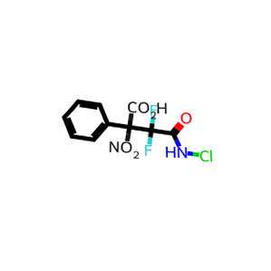 O=C(NCl)C(F)(F)C(C(=O)O)(c1ccccc1)[N+](=O)[O-]